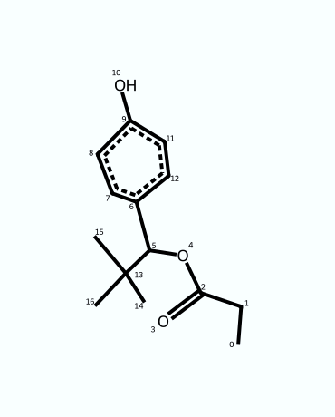 CCC(=O)OC(c1ccc(O)cc1)C(C)(C)C